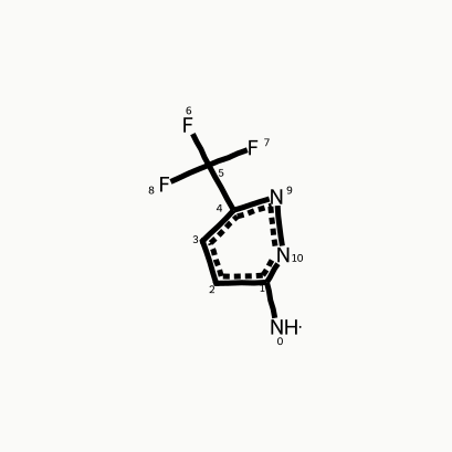 [NH]c1ccc(C(F)(F)F)nn1